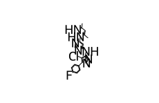 CC(=N)/C=C(/C)Nc1cc(Nc2nn(C)c(-c3ccc(F)cc3)c2Cl)ncn1